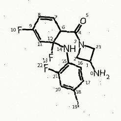 NC1CN(C(=O)C2C=CC(F)=CC2(F)Nc2ccc(I)cc2F)C1